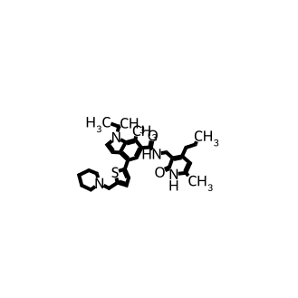 CCCc1cc(C)[nH]c(=O)c1CNC(=O)c1cc(-c2ccc(CN3CCCCC3)s2)c2ccn(C(C)C)c2c1C